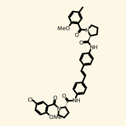 COc1ccc(C)cc1C(=O)N1CCC[C@H]1C(=O)Nc1ccc(/C=C/c2ccc(NC(=O)[C@@H]3CCCN3C(=O)c3cc(Cl)ccc3OC)cc2)cc1